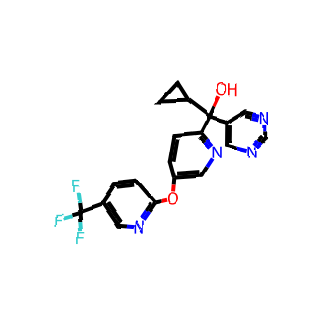 OC(c1cncnc1)(c1ccc(Oc2ccc(C(F)(F)F)cn2)cn1)C1CC1